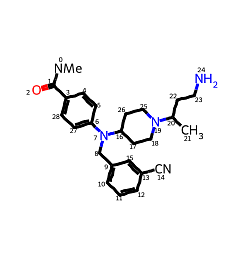 CNC(=O)c1ccc(N(Cc2cccc(C#N)c2)C2CCN(C(C)CCN)CC2)cc1